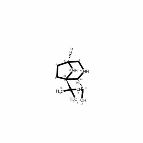 CC(C)(C)[C@]12CC[C@@H](CN[C@@H]1CO)N2